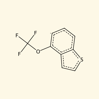 FC(F)(F)Oc1[c]ccc2sccc12